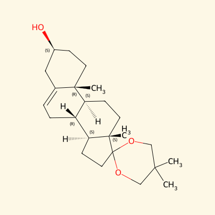 CC1(C)COC2(CC[C@H]3[C@@H]4CC=C5C[C@@H](O)CC[C@]5(C)[C@H]4CC[C@@]32C)OC1